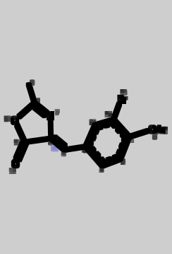 CC(=O)Oc1ccc(/C=C2\N=C(C)OC2=O)cc1Br